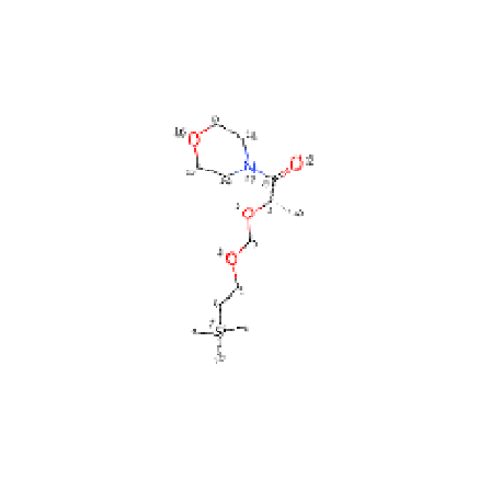 C[C@H](OCOCC[Si](C)(C)C)C(=O)N1CCOCC1